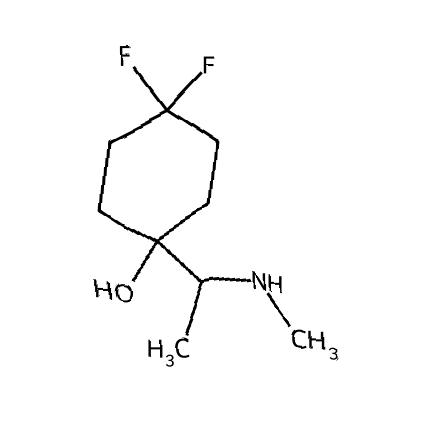 CNC(C)C1(O)CCC(F)(F)CC1